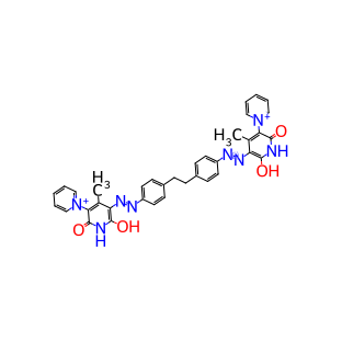 Cc1c(N=Nc2ccc(CCc3ccc(/N=N/c4c(O)[nH]c(=O)c(-[n+]5ccccc5)c4C)cc3)cc2)c(O)[nH]c(=O)c1-[n+]1ccccc1